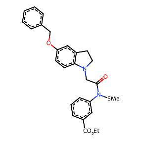 CCOC(=O)c1cccc(N(SC)C(=O)CN2CCc3cc(OCc4ccccc4)ccc32)c1